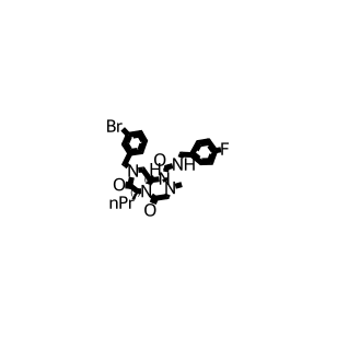 CCC[C@H]1C(=O)N(Cc2cccc(Br)c2)C[C@H]2N1C(=O)CN(C)N2C(=O)NCc1ccc(F)cc1